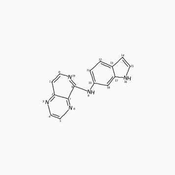 c1cc2nccnc2c(Nc2ccc3cc[nH]c3c2)n1